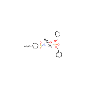 COc1ccc(S(=O)(=O)NCC(C)(C)OCP(=O)(OCc2ccccc2)OCc2ccccc2)cc1